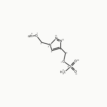 CCCOCn1cc(COS(C)(=O)=O)nn1